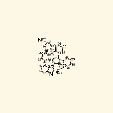 CCc1nc2ccccc2n1-c1cc2c(c3c1oc1ccccc13)-c1ccccc1C2(c1ccccc1)c1ccc(C#N)cc1